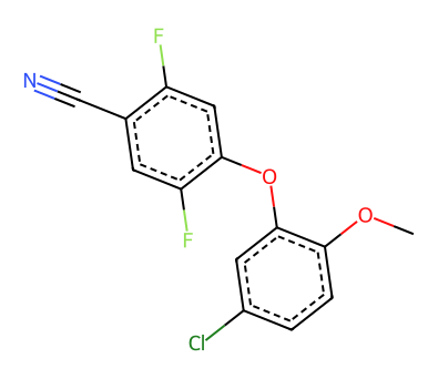 COc1ccc(Cl)cc1Oc1cc(F)c(C#N)cc1F